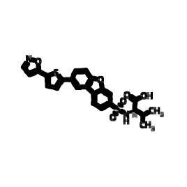 CC(C)[C@H](NS(=O)(=O)c1ccc2c(c1)oc1ccc(-c3ccc(-c4ccno4)s3)cc12)C(=O)O